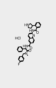 CN(Cc1ccc(F)cc1)C(=O)[C@@H](NC(=O)c1ccc2nc(NC(=O)c3ccccc3C3CCNC3)ccc2c1)c1ccccc1.Cl